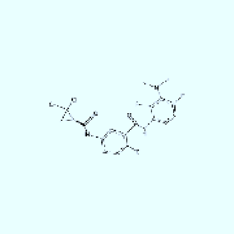 CN(C)c1c(F)ccc(NC(=O)c2cc(NC(=O)[C@H]3CC3(Cl)Cl)ccc2Cl)c1F